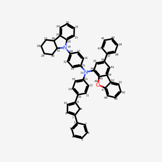 C1=C(c2ccccc2)CC(c2ccc(N(c3ccc(N4c5ccccc5C5CCCCC54)cc3)c3cc(-c4ccccc4)cc4c3oc3ccccc34)cc2)=C1